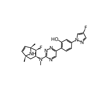 CN(c1ncc(-c2ccc(-n3cc(F)cn3)cc2O)nn1)[C@H]1C[C@]2(C)C=C[C@@](C)(N2)[C@H]1F